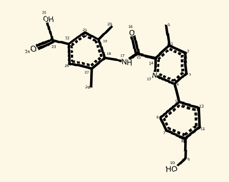 Cc1ccc(-c2ccc(CO)cc2)nc1C(=O)Nc1c(C)cc(C(=O)O)cc1C